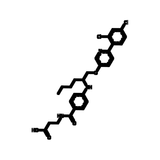 CCCCC(COc1ccc(-c2ccc(Cl)cc2Cl)nc1)Nc1ccc(C(=O)NCCC(=O)O)cc1